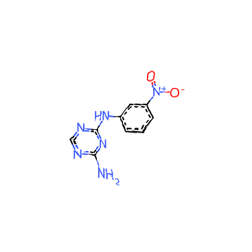 Nc1ncnc(Nc2cccc([N+](=O)[O-])c2)n1